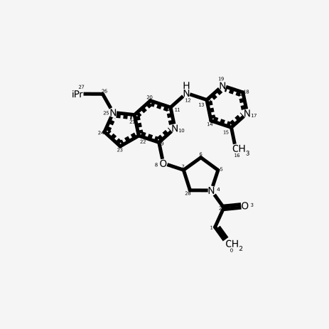 C=CC(=O)N1CCC(Oc2nc(Nc3cc(C)ncn3)cc3c2ccn3CC(C)C)C1